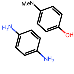 CNc1ccc(O)cc1.Nc1ccc(N)cc1